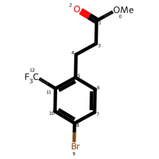 COC(=O)CCc1ccc(Br)cc1C(F)(F)F